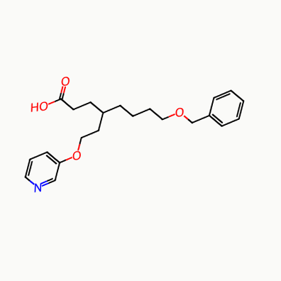 O=C(O)CCC(CCCCOCc1ccccc1)CCOc1cccnc1